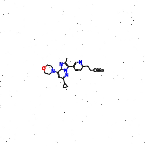 COCCc1ccc(-c2c(C)nc3c(N4CCOCC4)cc(C4CC4)nn23)cn1